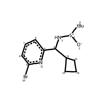 CC(C)(C)[S+]([O-])NC(c1cccc(Br)n1)C1CCC1